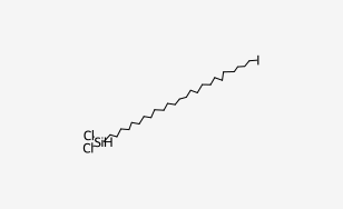 Cl[SiH](Cl)CCCCCCCCCCCCCCCCCCCCCCCCCCI